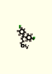 [CH2]CCCC(c1ccc(F)cc1)c1ccc(F)cc1